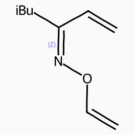 C=CO/N=C(\C=C)C(C)CC